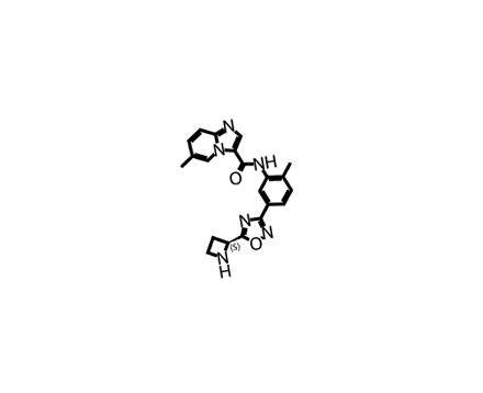 Cc1ccc2ncc(C(=O)Nc3cc(-c4noc([C@@H]5CCN5)n4)ccc3C)n2c1